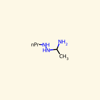 CCCNNC(C)N